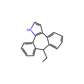 CCC1c2ccccc2-c2cc[nH]c2-c2ccccc21